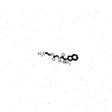 C=CCOC(=O)CNC(=O)[C@@H](N)C1Cc2ccccc2C1